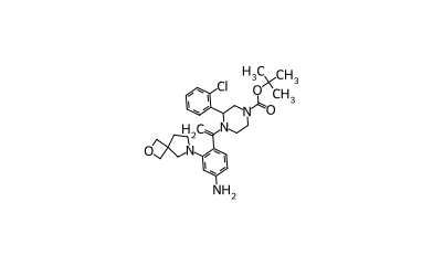 C=C(c1ccc(N)cc1N1CCC2(COC2)C1)N1CCN(C(=O)OC(C)(C)C)CC1c1ccccc1Cl